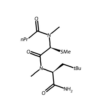 CCCC(=O)N(C)[C@@H](SC)C(=O)N(C)[C@@H](CC(C)(C)C)C(N)=O